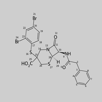 O=C(Cc1ccccc1)N[C@@H]1C(=O)N2CC(Sc3ccc(Br)cc3Br)(C(=O)O)CS[C@H]12